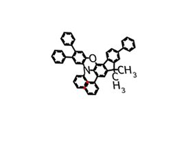 CC1(C)c2cc(-c3ccccc3)ccc2-c2c1cc(-c1ccccc1)c1c2Oc2cc(-c3ccccc3)c(-c3ccccc3)cc2N1c1ccccc1